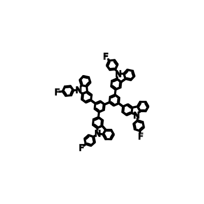 Fc1ccc(-n2c3ccccc3c3cc(-c4cc(-c5cc(-c6ccc7c(c6)c6ccccc6n7-c6ccc(F)cc6)cc(-c6ccc7c(c6)c6ccccc6n7-c6ccc(F)cc6)c5)cc(-c5ccc6c(c5)c5ccccc5n6-c5ccc(F)cc5)c4)ccc32)cc1